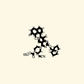 CC(C)(C)OC(=O)N1CCN(c2nc(OCC34CCCN3CCC4)nc3c(F)c(-c4cccc5ccc(F)c(Cl)c45)ncc23)C[C@@H]1CC#N